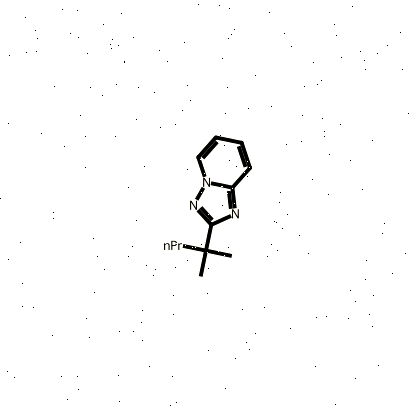 CCCC(C)(C)c1nc2ccccn2n1